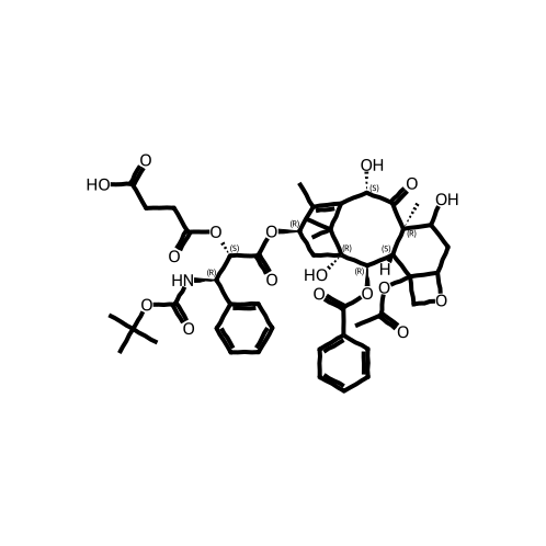 CC(=O)OC12COC1CC(O)[C@]1(C)C(=O)[C@@H](O)C3=C(C)[C@H](OC(=O)[C@@H](OC(=O)CCC(=O)O)[C@H](NC(=O)OC(C)(C)C)c4ccccc4)C[C@](O)([C@H](OC(=O)c4ccccc4)[C@@H]21)C3(C)C